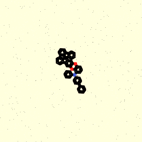 C1=CCC(C2=CC[C@H](N(c3ccccc3)c3cccc4c3Oc3cc5c(cc3O4)C3(c4ccccc4-c4ccccc43)c3ccccc3-5)C=C2)C=C1